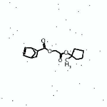 CC1(OC(=O)COC(=O)C2CC3C=CC2C3)CCCC1